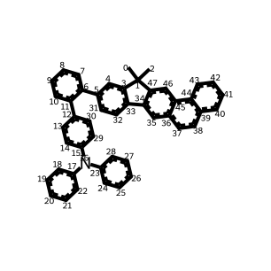 CC1(C)c2cc(-c3ccccc3-c3ccc(N(c4ccccc4)c4ccccc4)cc3)ccc2-c2cc3ccc4ccccc4c3cc21